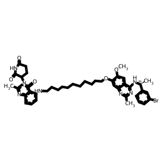 COc1cc2c(N[C@H](C)c3cccc(Br)c3)nc(C)nc2cc1OCCCCCCCCCCCNc1cccc2nc(C)n(C3CCC(=O)NC3=O)c(=O)c12